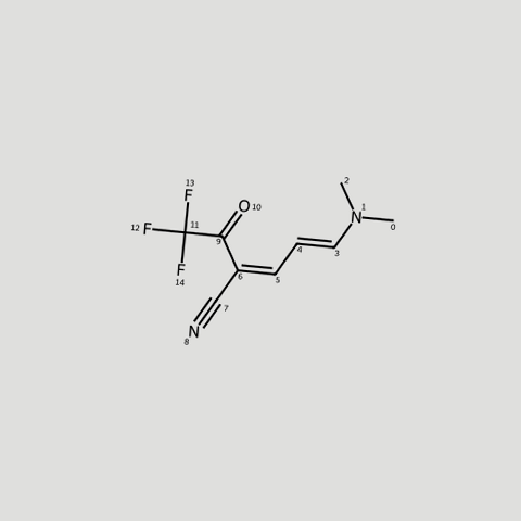 CN(C)/C=C/C=C(/C#N)C(=O)C(F)(F)F